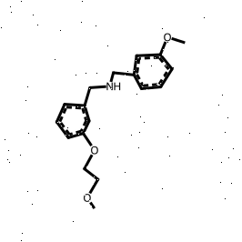 COCCOc1cccc(CNCc2cccc(OC)c2)c1